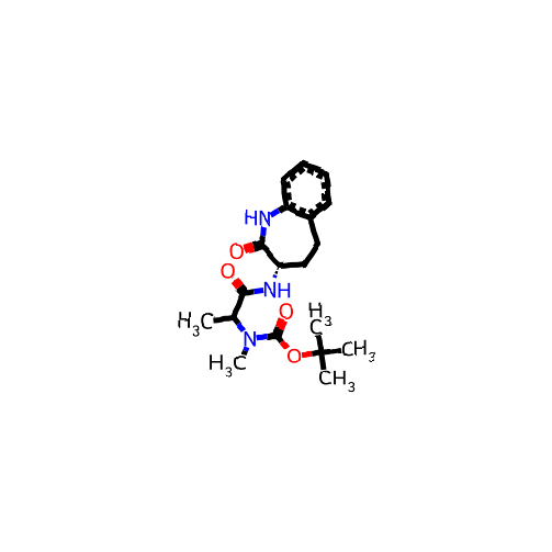 CC(C(=O)N[C@H]1CCc2ccccc2NC1=O)N(C)C(=O)OC(C)(C)C